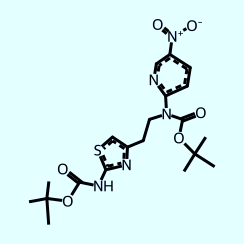 CC(C)(C)OC(=O)Nc1nc(CCN(C(=O)OC(C)(C)C)c2ccc([N+](=O)[O-])cn2)cs1